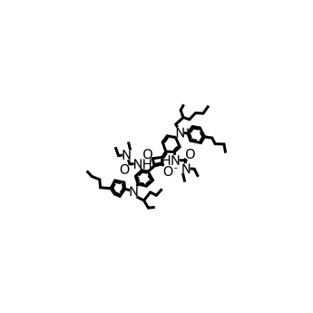 CCCCc1ccc(N(CC(CC)CCC)c2ccc(C3=C([O-])/C(=C4C=C/C(=[N+](\CC(CC)CCCC)c5ccc(CCCC)cc5)C=C/4NC(=O)N(CC)CC)C3=O)c(NC(=O)N(CC)CC)c2)cc1